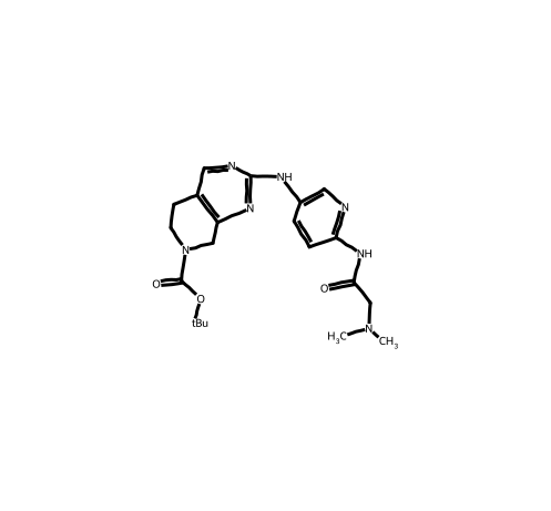 CN(C)CC(=O)Nc1ccc(Nc2ncc3c(n2)CN(C(=O)OC(C)(C)C)CC3)cn1